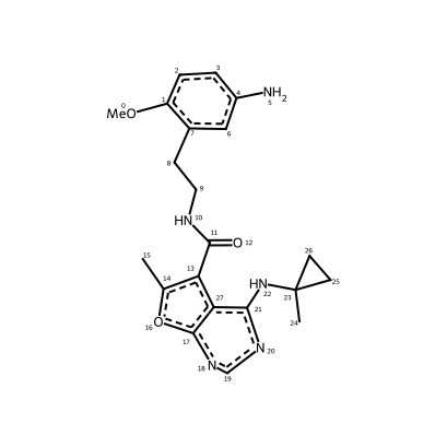 COc1ccc(N)cc1CCNC(=O)c1c(C)oc2ncnc(NC3(C)CC3)c12